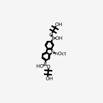 CCCCCCCCn1c2cc(B(O)OC(C)(C)C(C)(C)O)ccc2c2ccc(B(O)OC(C)(C)C(C)(C)O)cc21